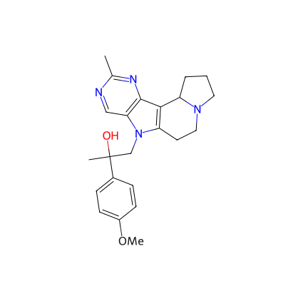 COc1ccc(C(C)(O)Cn2c3c(c4nc(C)ncc42)C2CCCN2CC3)cc1